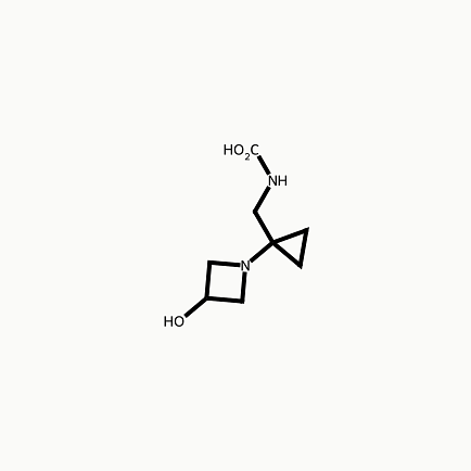 O=C(O)NCC1(N2CC(O)C2)CC1